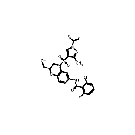 Cc1nn(C(F)F)cc1S(=O)(=O)N1C[C@H](CO)Oc2ccc(NC(=O)c3c(F)cccc3Cl)cc21